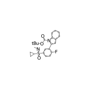 CN=S(=O)(c1ccc(F)c(-c2cc3ccccc3n2C(=O)OC(C)(C)C)c1)C1CC1